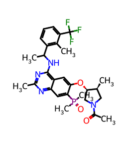 CC(=O)N1C[C@H](C)[C@H](Oc2cc3c(NC(C)c4cccc(C(F)(F)F)c4C)nc(C)nc3cc2P(C)(C)=O)C1